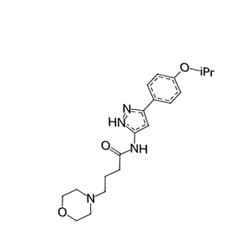 CC(C)Oc1ccc(-c2cc(NC(=O)CCCN3CCOCC3)[nH]n2)cc1